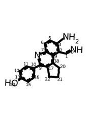 N=Cc1c(N)ccc2nc(-c3ccc(O)cc3)c3c(c12)CCC3